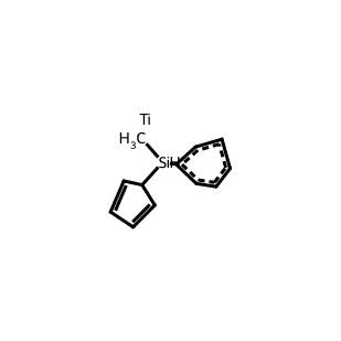 C[SiH](c1ccccc1)C1C=CC=C1.[Ti]